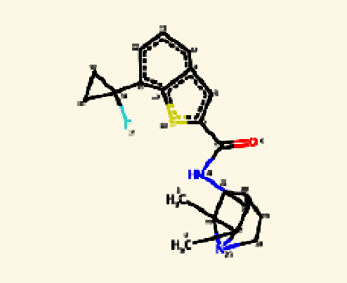 CC1(C)C(NC(=O)c2cc3cccc(C4(F)CC4)c3s2)C2CCN1CC2